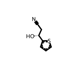 N#CC[C@@H](O)c1cccs1